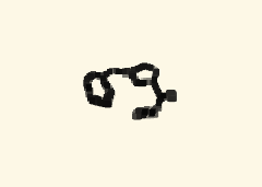 O=CC(=O)C1CCN(Cc2ccccc2)C1